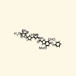 COc1cc(OCc2ccccc2)c(C=O)c2c1CC(C(=O)Nc1cc([C@H]3CC[C@@H](OC(=O)N(C)N(C)C)C3)[nH]n1)C2